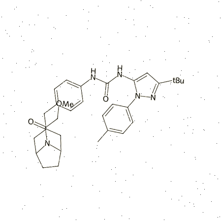 COCC(=O)N1C2CCC1CC(Cc1ccc(NC(=O)Nc3cc(C(C)(C)C)nn3-c3ccc(C)cc3)cc1)C2